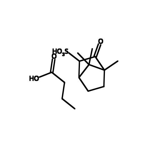 CC12CCC(C(S(=O)(=O)O)C1=O)C2(C)C.CCCC(=O)O